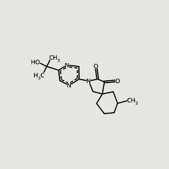 CC1CCCC2(C1)CN(c1cnc(C(C)(C)O)cn1)C(=O)C2=O